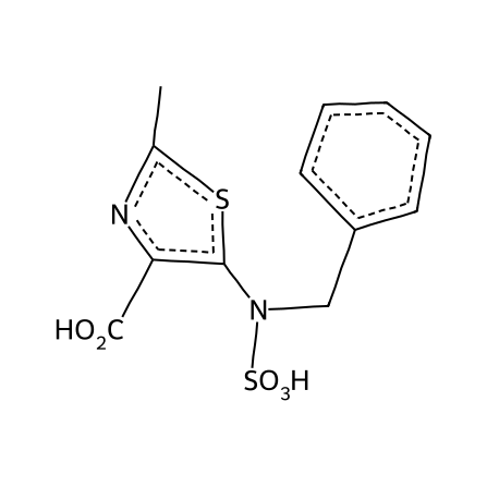 Cc1nc(C(=O)O)c(N(Cc2ccccc2)S(=O)(=O)O)s1